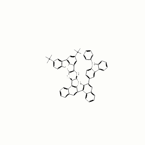 CC(C)(C)c1ccc2c(c1)c1cc(C(C)(C)C)cc3c4nc5c(nc4n2c13)c1c2ccccc2cc2c3c4ccccc4cc(-c4ccc6c(c4)c4ccccc4n6-c4ccccc4)c3n5c21